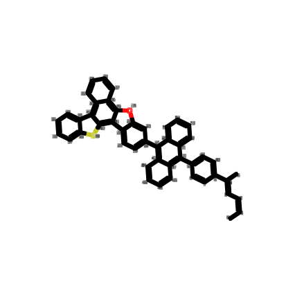 C/C=C\C=C(/C)c1ccc(-c2c3ccccc3c(-c3ccc4c(c3)oc3c5ccccc5c5c6ccccc6sc5c43)c3ccccc23)cc1